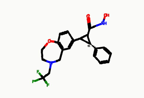 O=C(NO)C1C(c2ccc3c(c2)CN(CC(F)(F)F)CCO3)[C@H]1c1ccccc1